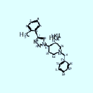 Cc1ccccc1-c1cn(C2CCN(Cc3ccccc3)CC2)nn1.Cl.Cl